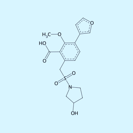 COc1c(-c2ccoc2)ccc(CS(=O)(=O)N2CCC(O)C2)c1C(=O)O